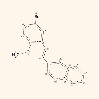 COc1ccc(Br)cc1C=Cc1ccc2ccccc2n1